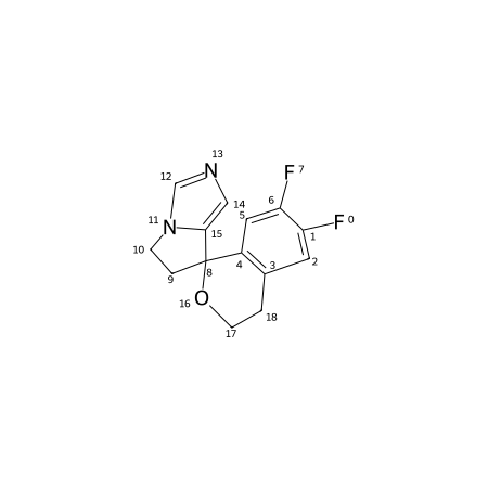 Fc1cc2c(cc1F)C1(CCn3cncc31)OCC2